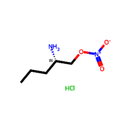 CCC[C@H](N)CO[N+](=O)[O-].Cl